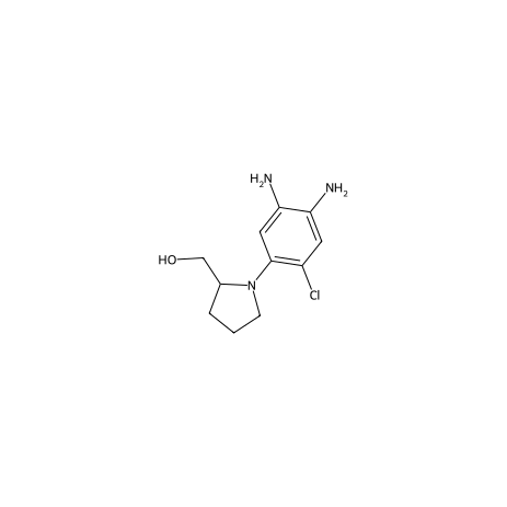 Nc1cc(Cl)c(N2CCCC2CO)cc1N